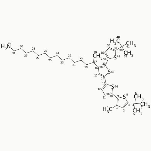 Cc1cc(C(C)(C)C)sc1-c1ccc(-c2cc(C(C)CCCCCCCCCCCCCN)c(-c3ccc(C(C)(C)C)s3)s2)s1